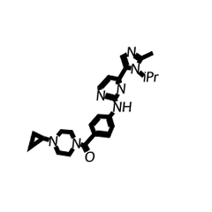 Cc1ncc(-c2ccnc(Nc3ccc(C(=O)N4CCN(C5CC5)CC4)cc3)n2)n1C(C)C